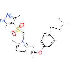 Cc1n[nH]c(C)c1S(=O)(=O)CN1[C@H](C[C@@H](C)Oc2ccc(CCC(C)C)cc2)CC[C@@H]1C